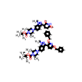 C[C@H]1CN(c2ccc3c(-c4ccc(OCc5ccccc5)nc4OCc4ccccc4)nn(C)c3c2)C[C@H](C)N1C(=O)OC(C)(C)C.C[C@H]1CN(c2ccc3c(C4CCC(=O)NC4=O)nn(C)c3c2)C[C@H](C)N1C(=O)OC(C)(C)C